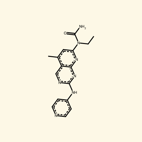 CCN(C(N)=O)c1cc(C)c2cnc(Nc3ccncc3)nc2n1